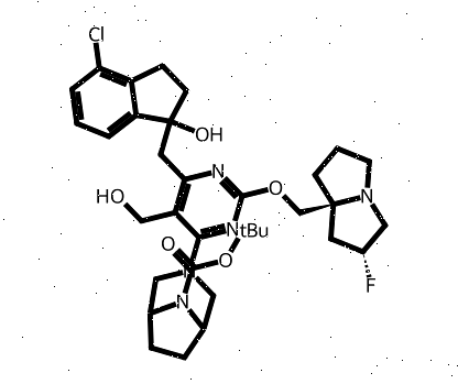 CC(C)(C)OC(=O)N1C2CCC1CN(c1nc(OC[C@@]34CCCN3C[C@H](F)C4)nc(CC3(O)CCc4c(Cl)cccc43)c1CO)C2